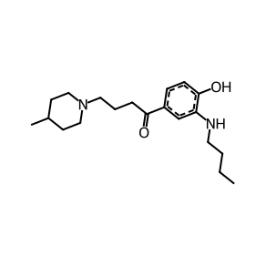 CCCCNc1cc(C(=O)CCCN2CCC(C)CC2)ccc1O